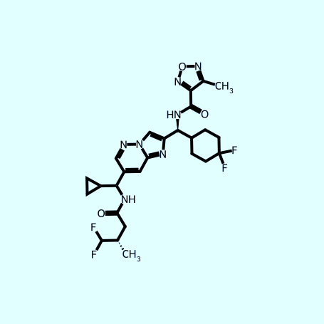 Cc1nonc1C(=O)N[C@H](c1cn2ncc(C(NC(=O)C[C@H](C)C(F)F)C3CC3)cc2n1)C1CCC(F)(F)CC1